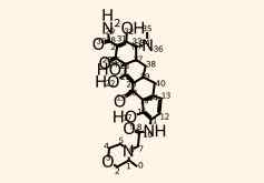 CC1COCCN1CC(=O)Nc1ccc2c(c1O)C(=O)C1=C(O)C3(O)C(=O)C(C(N)=O)=C(O)[C@@H](N(C)C)C3CC1C2